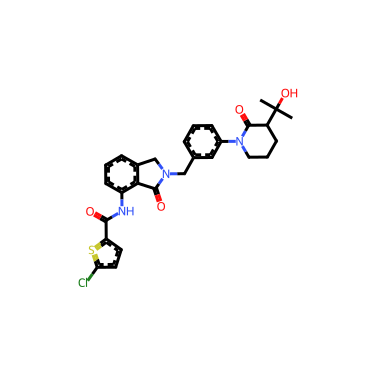 CC(C)(O)C1CCCN(c2cccc(CN3Cc4cccc(NC(=O)c5ccc(Cl)s5)c4C3=O)c2)C1=O